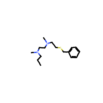 CCCN(C)CCN(C)CCSCc1ccccc1